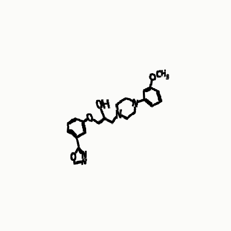 COc1cccc(N2CCN(CC(O)COc3cccc(-c4nnco4)c3)CC2)c1